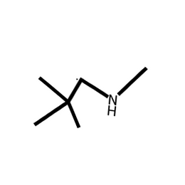 CN[CH]C(C)(C)C